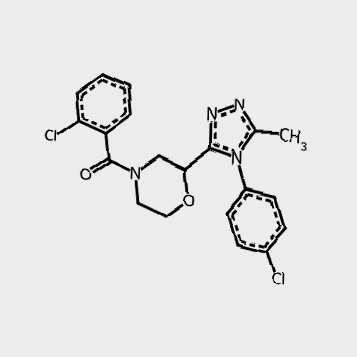 Cc1nnc(C2CN(C(=O)c3ccccc3Cl)CCO2)n1-c1ccc(Cl)cc1